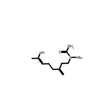 C=C(CC/C=C(/C)CCC)CCN(CCCC)C(N)=O